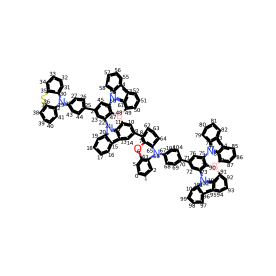 c1ccc2c(c1)Oc1c(-c3cc4c5c(c3)c3ccccc3n5-c3cc(-c5ccc(N6c7ccccc7Sc7ccccc76)cc5)cc5c3B4c3cccc4c6ccccc6n-5c34)cccc1N2c1ccc(-c2cc3c4c(c2)-n2c5ccccc5c5cccc(c52)B4c2cccc4c5ccccc5n-3c24)cc1